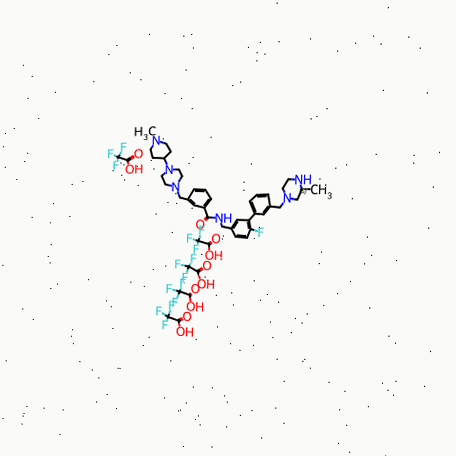 C[C@H]1CN(Cc2cccc(-c3cc(CNC(=O)c4cccc(CN5CCN(C6CCN(C)CC6)CC5)c4)ccc3F)c2)CCN1.O=C(O)C(F)(F)F.O=C(O)C(F)(F)F.O=C(O)C(F)(F)F.O=C(O)C(F)(F)F.O=C(O)C(F)(F)F